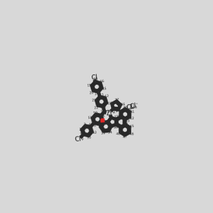 Clc1ccc(-c2ccc([C](c3ccc(-c4ccc(Cl)cc4)cc3)=[Zr+2]([C]3=CC=CC3)[CH]3c4ccccc4-c4c3c3ccccc3c3ccccc43)cc2)cc1.[Cl-].[Cl-]